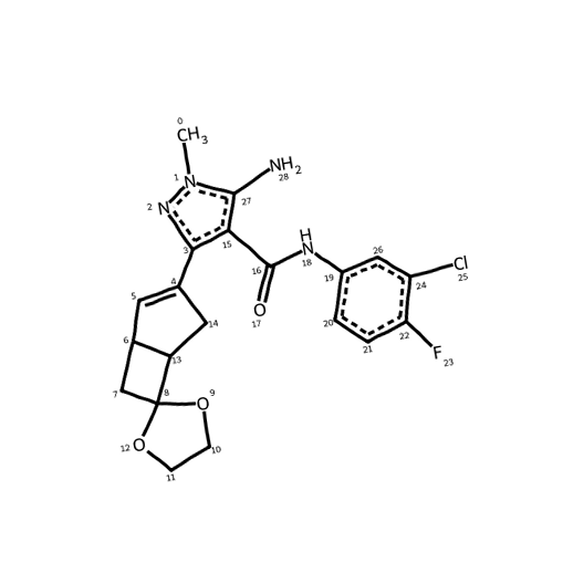 Cn1nc(C2=CC3CC4(OCCO4)C3C2)c(C(=O)Nc2ccc(F)c(Cl)c2)c1N